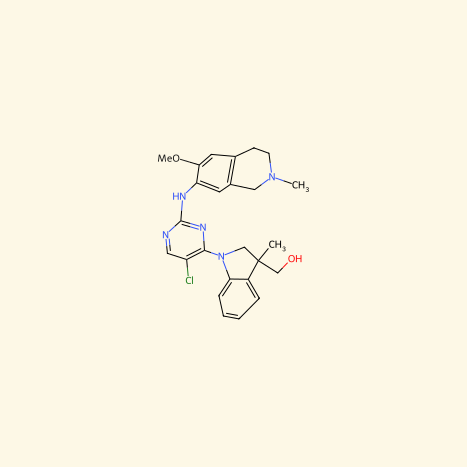 COc1cc2c(cc1Nc1ncc(Cl)c(N3CC(C)(CO)c4ccccc43)n1)CN(C)CC2